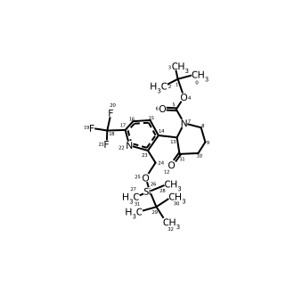 CC(C)(C)OC(=O)N1CCCC(=O)C1c1ccc(C(F)(F)F)nc1CO[Si](C)(C)C(C)(C)C